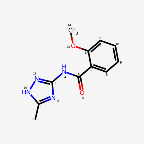 [CH2]c1nc(NC(=O)c2ccccc2OC(F)(F)F)n[nH]1